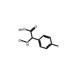 COC(=O)C(NCl)c1ccc(F)cc1